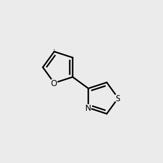 [c]1coc(-c2cscn2)c1